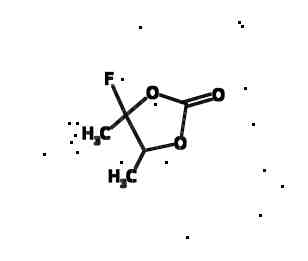 CC1OC(=O)OC1(C)F